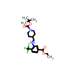 CCOC(=O)c1ccc(C(F)(F)F)c(NCC2CCN(C(=O)OC(C)(C)C)CC2)c1